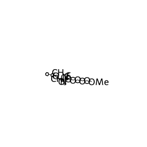 COCCOCCOCCOCCOCCOCC(N=C=S)c1cc(CCCOc2c(C)cc(-c3ccccc3)cc2C)on1